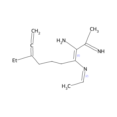 C=C=C(CC)CCCC(/N=C\C)=C(\N)C(C)=N